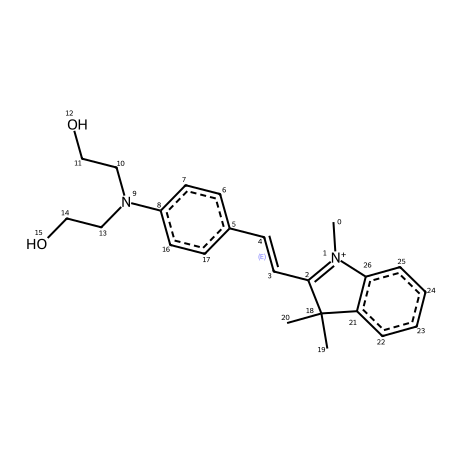 C[N+]1=C(/C=C/c2ccc(N(CCO)CCO)cc2)C(C)(C)c2ccccc21